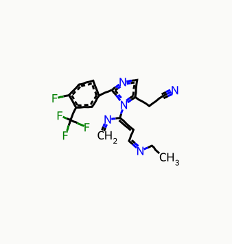 C=N/C(=C\C=N/CC)n1c(CC#N)cnc1-c1ccc(F)c(C(F)(F)F)c1